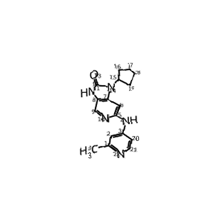 Cc1cc(Nc2cc3c(cn2)[nH]c(=O)n3C2CCCC2)ccn1